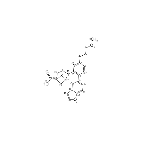 COCCCc1cnc(-c2ccc3occc3c2)c(N2CCC3(C(=O)O)CC2C3)n1